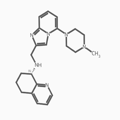 CN1CCN(c2cccc3nc(CN[C@H]4CCCc5cccnc54)cn23)CC1